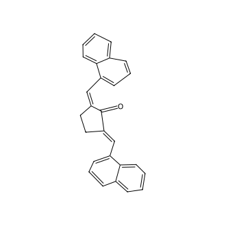 O=C1C(=Cc2cccc3ccccc23)CCC1=Cc1cccc2ccccc12